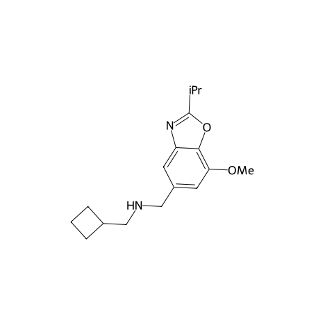 COc1cc(CNCC2CCC2)cc2nc(C(C)C)oc12